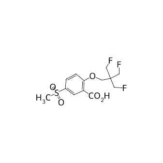 CS(=O)(=O)c1ccc(OCC(CF)(CF)CF)c(C(=O)O)c1